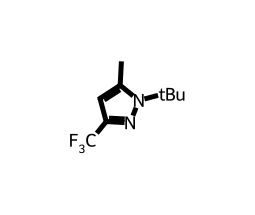 Cc1cc(C(F)(F)F)nn1C(C)(C)C